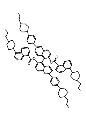 CCCC1CCC(c2ccc(-c3ccc4c(-c5c(OC(=O)c6cccc7c(C8CCC(CCC)CC8)cccc67)ccc6cc(-c7ccc(C8CCC(CCC)CC8)cc7)ccc56)c(OC(=O)c5cccc6c(C7CCC(CCC)CC7)cccc56)ccc4c3)cc2)CC1